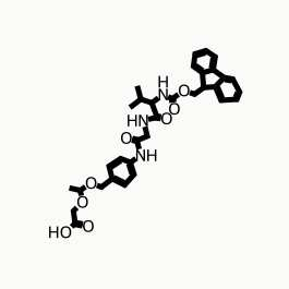 CC(OCC(=O)O)OCc1ccc(NC(=O)CNC(=O)C(NC(=O)OCC2c3ccccc3-c3ccccc32)C(C)C)cc1